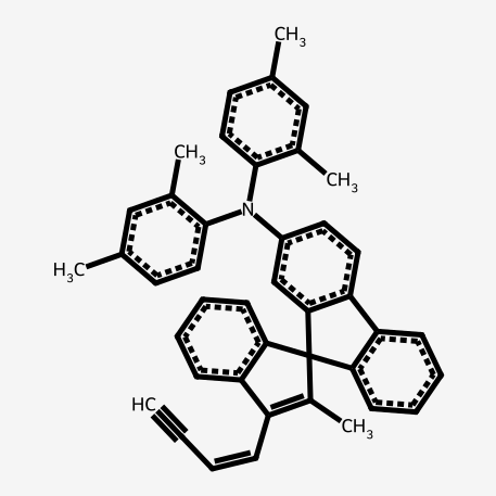 C#C/C=C\C1=C(C)C2(c3ccccc31)c1ccccc1-c1ccc(N(c3ccc(C)cc3C)c3ccc(C)cc3C)cc12